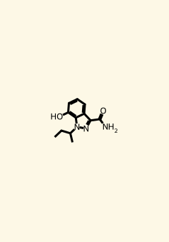 CCC(C)n1nc(C(N)=O)c2cccc(O)c21